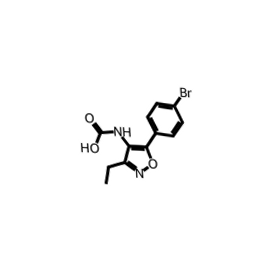 CCc1noc(-c2ccc(Br)cc2)c1NC(=O)O